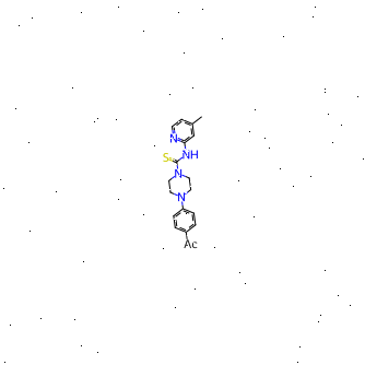 CC(=O)c1ccc(N2CCN(C(=S)Nc3cc(C)ccn3)CC2)cc1